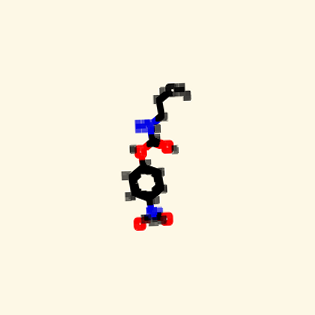 CCCNC(=O)Oc1ccc([N+](=O)[O-])cc1